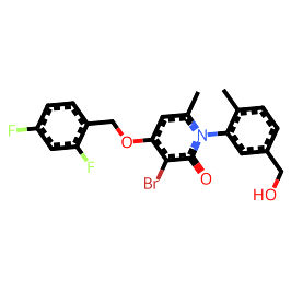 Cc1ccc(CO)cc1-n1c(C)cc(OCc2ccc(F)cc2F)c(Br)c1=O